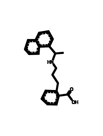 CC(NCCCc1ccccc1C(=O)O)c1cccc2ccccc12